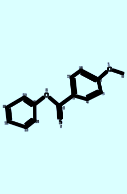 COc1ccc(C(=S)Oc2ccccc2)cc1